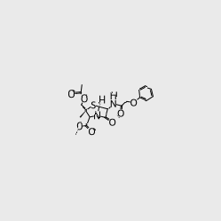 COC(=O)C1N2C(=O)C(NC(=O)COc3ccccc3)[C@@H]2S[C@@]1(C)COC(C)=O